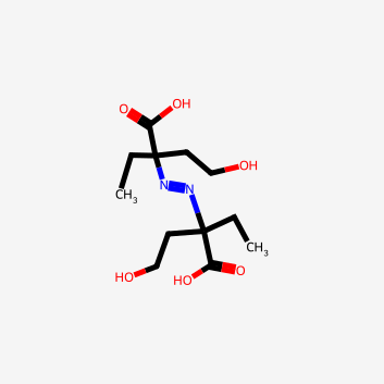 CCC(CCO)(N=NC(CC)(CCO)C(=O)O)C(=O)O